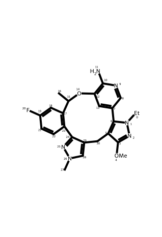 CCn1nc(OC)c2c1-c1cnc(N)c(c1)OC(C)c1cc(F)ccc1-c1nn(C)cc1C2